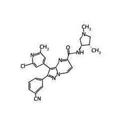 Cc1cc(-c2c(-c3cccc(C#N)c3)nn3ccc(C(=O)N[C@H]4CN(C)C[C@@H]4C)nc23)cc(Cl)n1